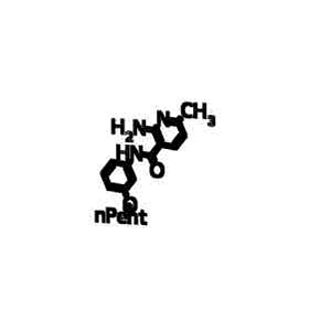 CCCCCOc1cccc(NC(=O)c2ccc(C)nc2N)c1